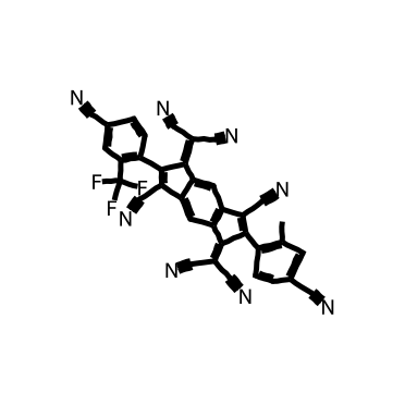 Cc1cc(C#N)ccc1C1=C(C#N)c2cc3c(cc2C1=C(C#N)C#N)C(C#N)=C(c1ccc(C#N)cc1C(F)(F)F)C3=C(C#N)C#N